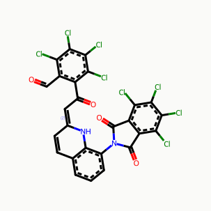 O=Cc1c(Cl)c(Cl)c(Cl)c(Cl)c1C(=O)/C=C1/C=Cc2cccc(N3C(=O)c4c(Cl)c(Cl)c(Cl)c(Cl)c4C3=O)c2N1